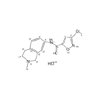 COc1cc(C(=O)Nc2ccc3c(c2)CN(C)CC3)on1.Cl